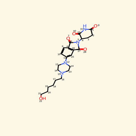 O=C1CCC(N2C(=O)c3ccc(N4CCN(CCCCCCO)CC4)cc3C2=O)C(=O)N1